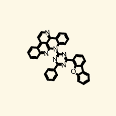 c1ccc(-c2nc(-c3cccc4c3oc3ccccc34)nc(N3c4ccccc4-c4nccc5c4c3nc3ccccc35)n2)cc1